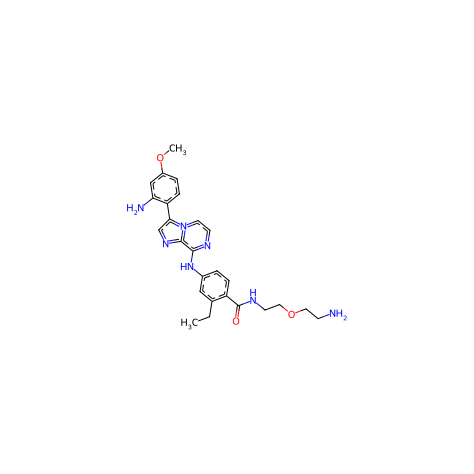 CCc1cc(Nc2nccn3c(-c4ccc(OC)cc4N)cnc23)ccc1C(=O)NCCOCCN